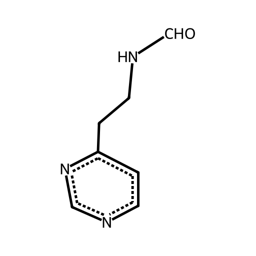 O=CNCCc1ccncn1